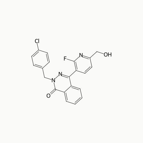 O=c1c2ccccc2c(-c2ccc(CO)nc2F)nn1Cc1ccc(Cl)cc1